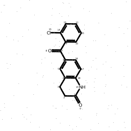 O=C1CCc2cc(C(=O)c3ccccc3Cl)ccc2N1